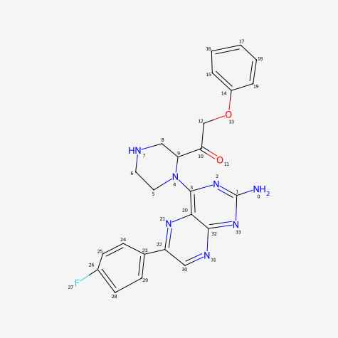 Nc1nc(N2CCNCC2C(=O)COc2ccccc2)c2nc(-c3ccc(F)cc3)cnc2n1